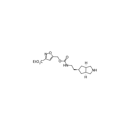 CCOC(=O)c1cc(COC(=O)NCC[C@H]2C[C@H]3CNC[C@H]3C2)on1